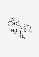 CC(C)N(CCOc1ccccc1N)C(C)C